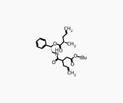 C=CCC(CC(=O)OC(C)(C)C)C(=O)NC[C@@H](OC(=O)[C@H](C)CC=C)c1ccccc1